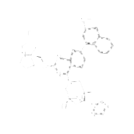 Oc1cc(-c2ccc3c(N4C[C@H]5C[C@@H](n6cncn6)[C@@H](C4)N5)nc(OC[C@@]45CCCN4C[C@H](F)C5)nc3c2F)c2ccccc2c1